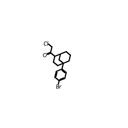 O=C(CCl)C1CCC2(c3ccc(Br)cc3)CCCC1C2